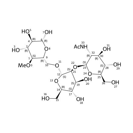 CO[C@H]1[C@H](O)[C@@H](O)[C@H](O)O[C@@H]1CO[C@H]1O[C@H](CO)[C@@H](O)[C@H](O)[C@@H]1O[C@@H]1O[C@H](CO)[C@@H](O)[C@H](O)[C@H]1NC(C)=O